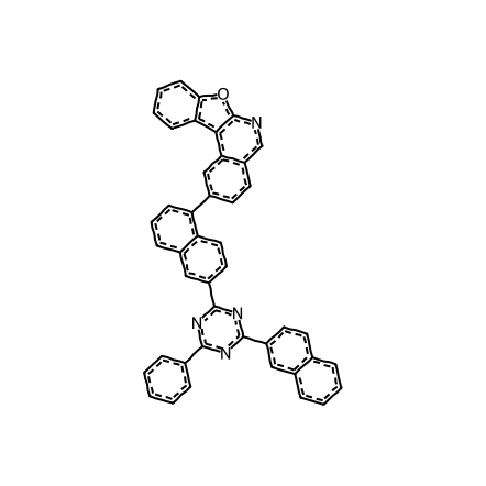 c1ccc(-c2nc(-c3ccc4ccccc4c3)nc(-c3ccc4c(-c5ccc6cnc7oc8ccccc8c7c6c5)cccc4c3)n2)cc1